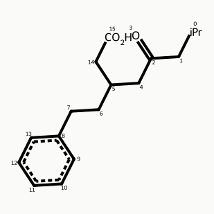 CC(C)CC(=O)CC(CCc1ccccc1)CC(=O)O